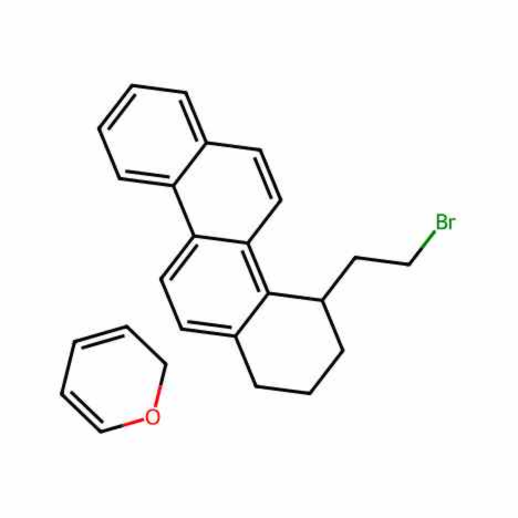 BrCCC1CCCc2ccc3c(ccc4ccccc43)c21.C1=CCOC=C1